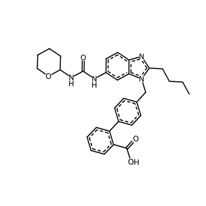 CCCCc1nc2ccc(NC(=O)NC3CCCCO3)cc2n1Cc1ccc(-c2ccccc2C(=O)O)cc1